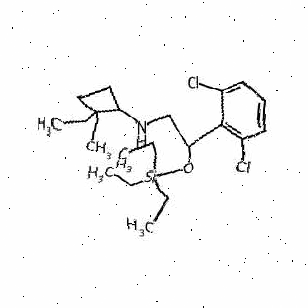 CC[Si](CC)(CC)OC(CNC1CCC1(C)C)c1c(Cl)cccc1Cl